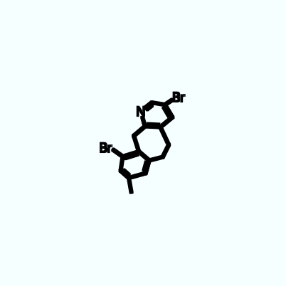 Cc1cc(Br)c2c(c1)CCc1cc(Br)cnc1C2